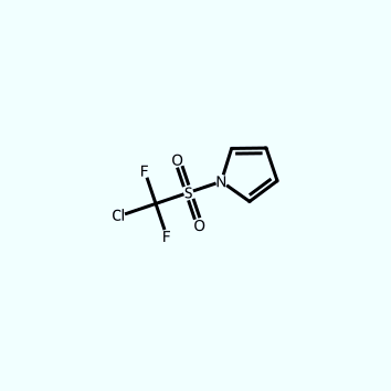 O=S(=O)(n1cccc1)C(F)(F)Cl